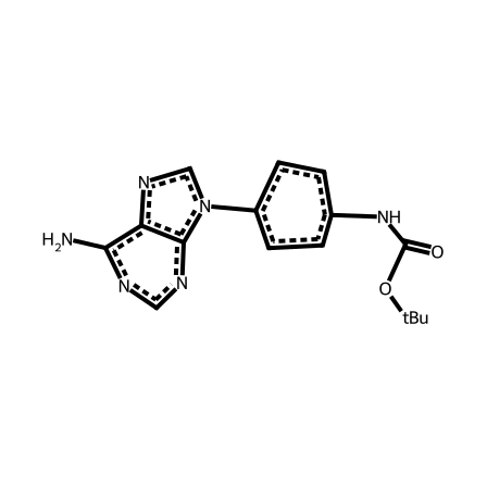 CC(C)(C)OC(=O)Nc1ccc(-n2cnc3c(N)ncnc32)cc1